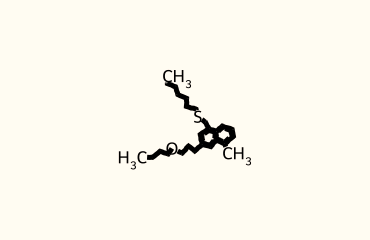 CCCCCCCSCc1cc(CCCOCCCC)cc2c(C)cccc12